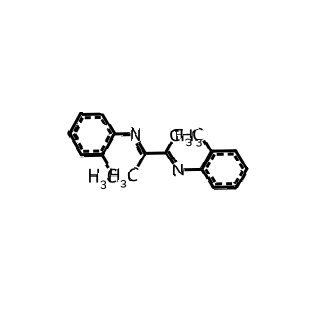 CC(=N\c1ccccc1C)/C(C)=N/c1ccccc1C(F)(F)F